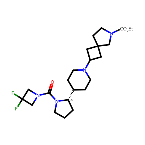 CCOC(=O)N1CCC2(CC(N3CCC([C@@H]4CCCN4C(=O)N4CC(F)(F)C4)CC3)C2)C1